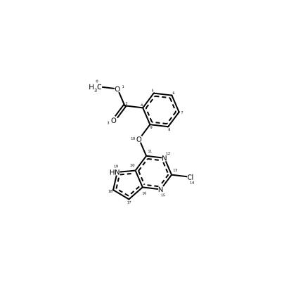 COC(=O)c1ccccc1Oc1nc(Cl)nc2cc[nH]c12